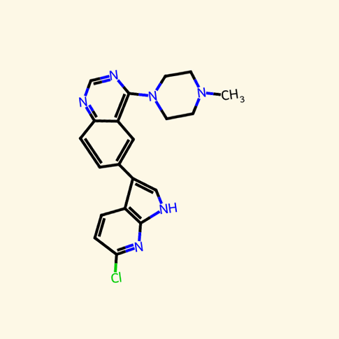 CN1CCN(c2ncnc3ccc(-c4c[nH]c5nc(Cl)ccc45)cc23)CC1